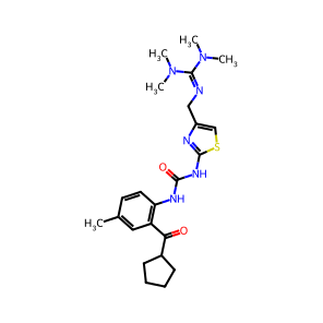 Cc1ccc(NC(=O)Nc2nc(CN=C(N(C)C)N(C)C)cs2)c(C(=O)C2CCCC2)c1